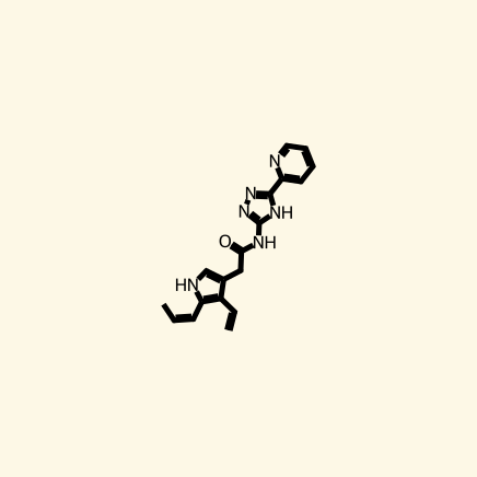 C=Cc1c(CC(=O)Nc2nnc(-c3ccccn3)[nH]2)c[nH]c1/C=C\C